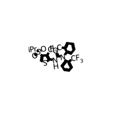 CC(C)S(=O)(=O)c1csc(NC(=O)N(c2ccccc2C(F)(F)F)c2ccccc2C(F)(F)F)c1Cl